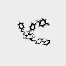 O=C(CN1CCN(c2ncccn2)CC1)NC(COCc1ccccc1)C(=O)Nc1ccc(Oc2ccc(F)cc2)cc1